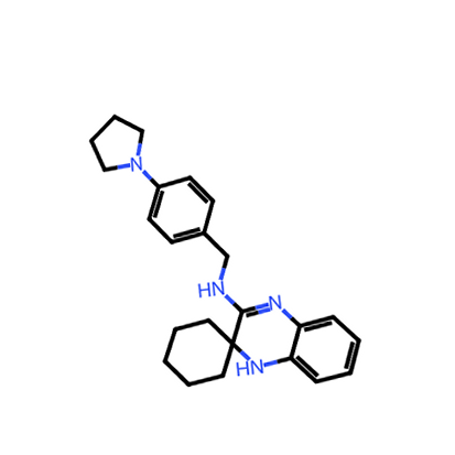 c1ccc2c(c1)N=C(NCc1ccc(N3CCCC3)cc1)C1(CCCCC1)N2